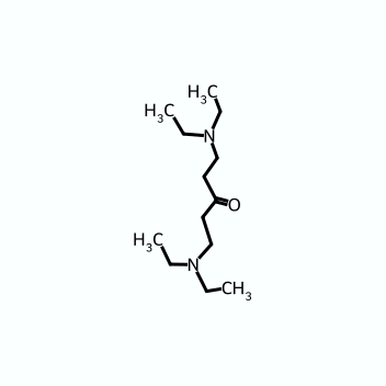 CCN(CC)CCC(=O)CCN(CC)CC